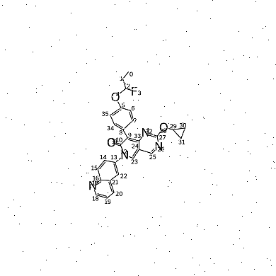 CCC(F)Oc1ccc(-c2c(=O)n(-c3ccc4ncccc4c3)cc3cnc(OC4CC4)nc23)cc1